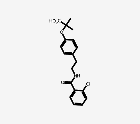 CC(C)(Oc1ccc(CCNC(=O)c2ccccc2Cl)cc1)C(=O)O